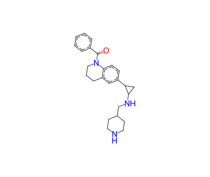 O=C(c1ccccc1)N1CCCc2cc(C3CC3NCC3CCNCC3)ccc21